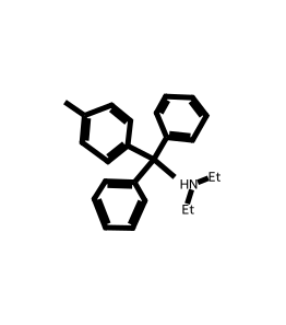 CCNCC.Cc1ccc(C(C)(c2ccccc2)c2ccccc2)cc1